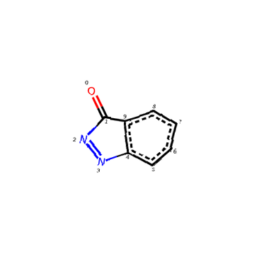 O=C1N=Nc2c[c]ccc21